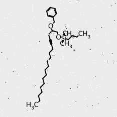 CCCCCCCCCCCCCCC#CC[C@H](CO[Si](C)(C)CCCC)OCc1ccccc1